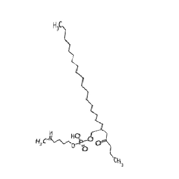 CCCCCCCCCCCCCCCCCCC(COP(=O)(O)OCCCCNC)CC(=O)CCC